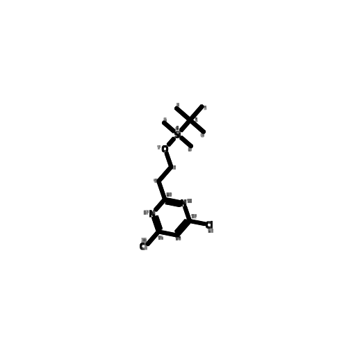 CC(C)(C)[Si](C)(C)OCCc1nc(Cl)cc(Cl)n1